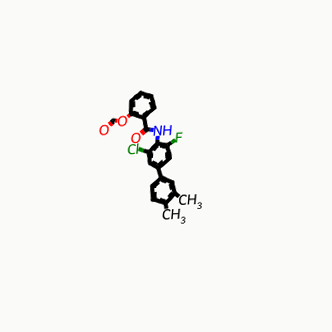 Cc1ccc(-c2cc(F)c(NC(=O)c3ccccc3OC=O)c(Cl)c2)cc1C